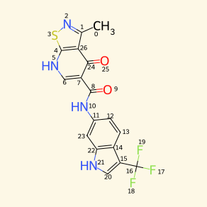 Cc1nsc2[nH]cc(C(=O)Nc3ccc4c(C(F)(F)F)c[nH]c4c3)c(=O)c12